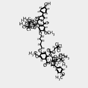 COc1ccc(C2=CN3C(=O)c4cc(OC)c(OCCCCCOc5cc6c(cc5OC)C(=O)N5C=C(c7ccc(O)cc7)C[C@H]5[C@H](O[Si](C)(C)C(C)(C)C)N6C(=O)OCC(Cl)(Cl)Cl)cc4N(C(=O)OCC(Cl)(Cl)Cl)[C@@H](O[Si](C)(C)C(C)(C)C)[C@@H]3C2)cc1